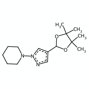 CC1(C)OC(c2cnn(N3CCCCC3)c2)OC1(C)C